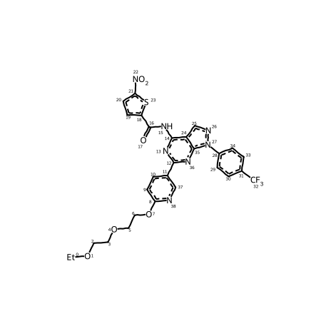 CCOCCOCCOc1ccc(-c2nc(NC(=O)c3ccc([N+](=O)[O-])s3)c3cnn(-c4ccc(C(F)(F)F)cc4)c3n2)cn1